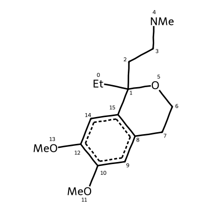 CCC1(CCNC)OCCc2cc(OC)c(OC)cc21